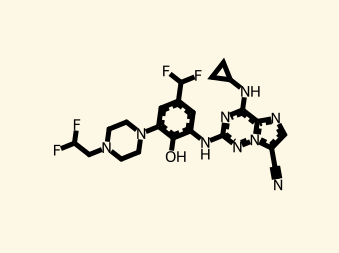 N#Cc1cnc2c(NC3CC3)nc(Nc3cc(C(F)F)cc(N4CCN(CC(F)F)CC4)c3O)nn12